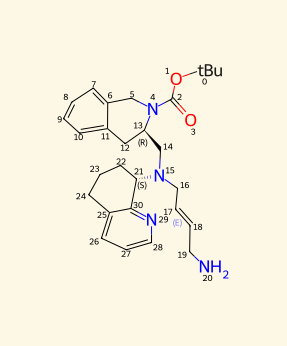 CC(C)(C)OC(=O)N1Cc2ccccc2C[C@@H]1CN(C/C=C/CN)[C@H]1CCCc2cccnc21